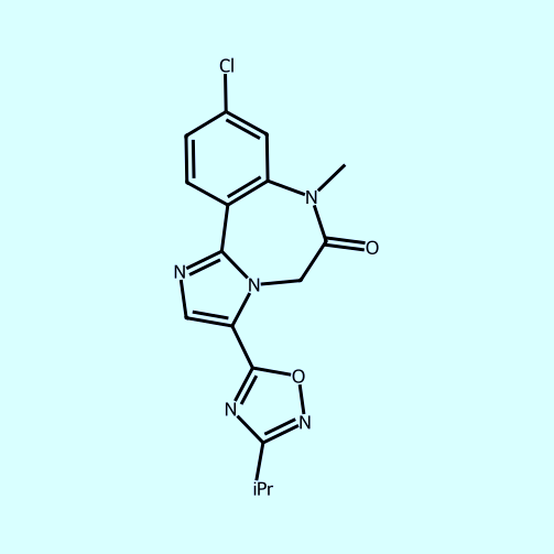 CC(C)c1noc(-c2cnc3n2CC(=O)N(C)c2cc(Cl)ccc2-3)n1